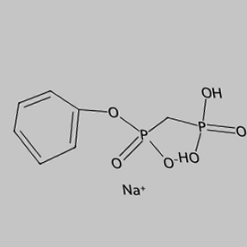 O=P(O)(O)CP(=O)([O-])Oc1ccccc1.[Na+]